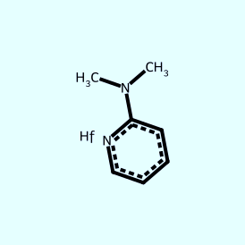 CN(C)c1ccccn1.[Hf]